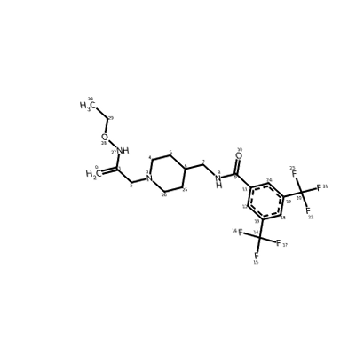 C=C(CN1CCC(CNC(=O)c2cc(C(F)(F)F)cc(C(F)(F)F)c2)CC1)NOCC